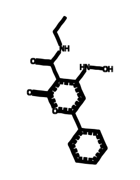 CCNC(=O)c1c(NO)cc(-c2ccccc2)oc1=O